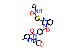 Cc1ccc(C(=O)Nc2ccc(C(=O)N3c4ccccc4N=C(c4ccc(C(=O)NC5CCC5)s4)[C@H]3C)cc2)c(N2CC3(CCOCC3)C2)n1